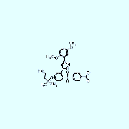 COc1ccc(OC)c(-n2cc(-c3ccccc3S(=O)(=O)c3ccc(C(=O)[O-])cc3)nn2)c1.C[N+](C)(C)CCO